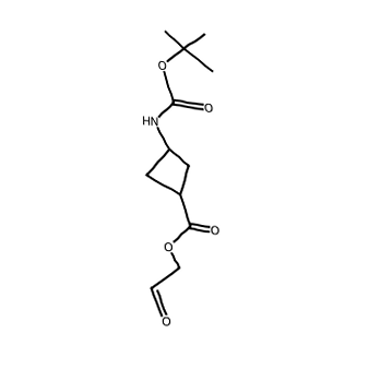 CC(C)(C)OC(=O)NC1CC(C(=O)OCC=O)C1